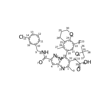 Cc1nc2cc(C(=O)NCc3cccc(Cl)c3)nn2c(-c2cc(F)c3c(c2C)CCCO3)c1[C@H](OC(C)(C)C)C(=O)O